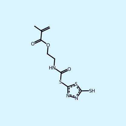 C=C(C)C(=O)OCCNC(=O)Sc1nnc(S)s1